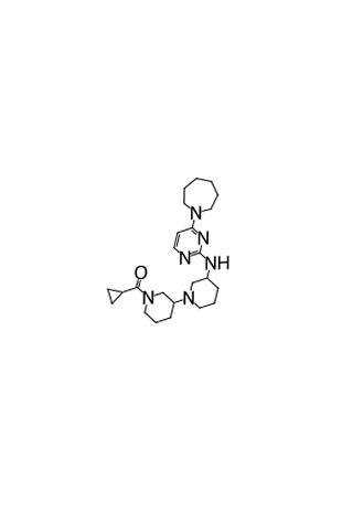 O=C(C1CC1)N1CCCC(N2CCCC(Nc3nccc(N4CCCCCC4)n3)C2)C1